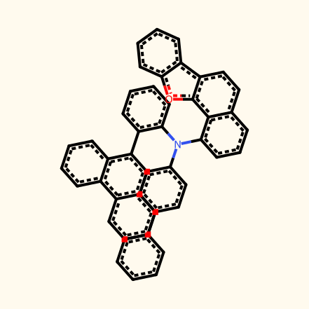 c1ccc(-c2ccc(N(c3ccccc3-c3cc4ccccc4c4ccccc34)c3cccc4ccc5c6ccccc6oc5c34)cc2)cc1